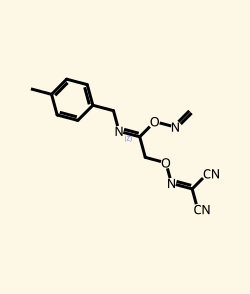 C=NO/C(CON=C(C#N)C#N)=N\Cc1ccc(C)cc1